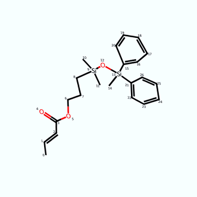 CC=CC(=O)OCCC[Si](C)(C)O[Si](C)(c1ccccc1)c1ccccc1